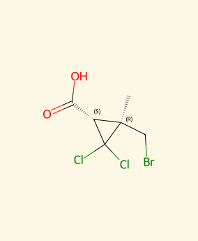 C[C@@]1(CBr)[C@@H](C(=O)O)C1(Cl)Cl